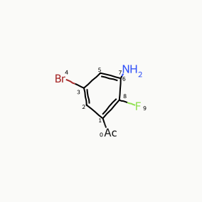 CC(=O)c1cc(Br)cc(N)c1F